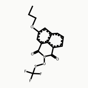 CCCOc1cc2c3c(cccc3c1)C(=O)N(OSC(F)(F)F)C2=O